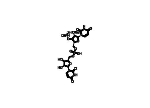 CO[C@H]1C(O[PH](=O)S)[C@@H](COP(=O)(O)OC[C@H]2O[C@H](n3ccc(=O)[nH]c3=O)[C@@H](O)C2O)O[C@H]1n1ccc(=O)[nH]c1=O